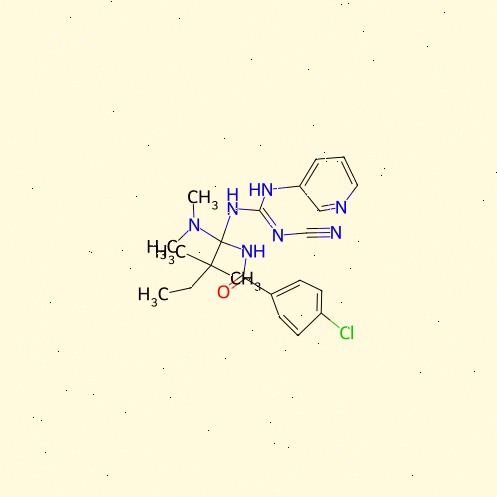 CCC(C)(C)C(NC(=O)c1ccc(Cl)cc1)(NC(=NC#N)Nc1cccnc1)N(C)C